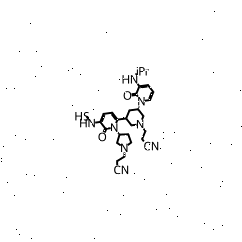 CC(C)Nc1cccn([C@H]2CC(c3ccc(NS)c(=O)n3[C@H]3CCN(CCC#N)C3)CN(CCC#N)C2)c1=O